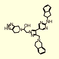 OC(Cn1cc(-c2cnc(NC3Cc4ccccc4C3)nc2)c(CN2CCc3ccccc3C2)n1)N1CCc2[nH]nnc2C1